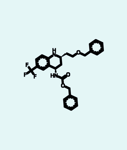 O=C(N[C@H]1C[C@@H](CCOCc2ccccc2)Nc2ccc(C(F)(F)F)cc21)OCc1ccccc1